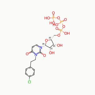 O=c1ccn([C@@H]2O[C@H](COP(=O)(O)OP(=O)(O)OP(=O)(O)O)[C@H](O)[C@@H]2O)c(=O)n1CCc1ccc(Cl)cc1